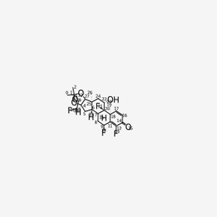 CC1(C)O[C@@H]2C[C@H]3[C@@H]4C[C@H](F)C5=C(F)C(=O)C=C[C@]5(C)[C@@]4(F)[C@@H](O)C[C@]3(C)[C@]2(C(=O)CF)O1